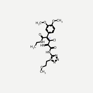 CCNC(=O)/C(=C(/Cl)C(=N)C(=O)Nc1nnnn1CCOC)c1ccc(OC)c(OC)c1